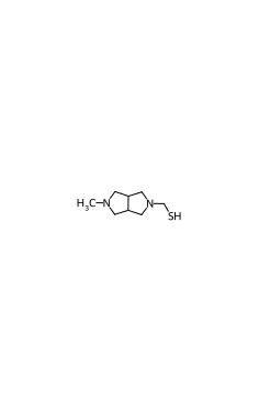 CN1CC2CN(CS)CC2C1